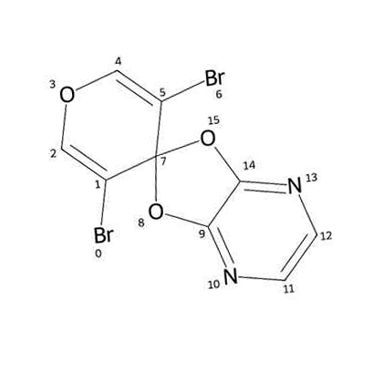 BrC1=COC=C(Br)C12Oc1nccnc1O2